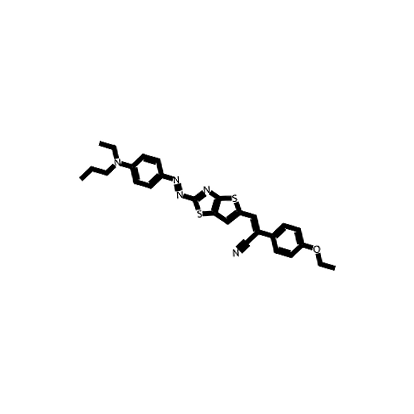 CCCN(CC)c1ccc(/N=N/c2nc3sc(/C=C(\C#N)c4ccc(OCC)cc4)cc3s2)cc1